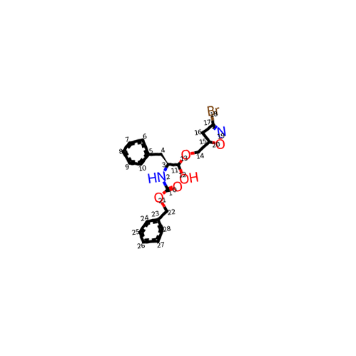 O=C(N[C@@H](Cc1ccccc1)C(O)OCC1CC(Br)=NO1)OCc1ccccc1